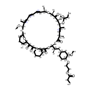 CO[C@H]1C[C@@H]2CC[C@@H](C)[C@@](O)(O2)C(=O)C(=O)N2CCCC[C@H]2C(=O)O[C@H]([C@H](C)C[C@@H]2CC[C@@H](OCCOC(=O)CI)[C@H](OC)C2)CC(=O)[C@H](C)/C=C(\C)[C@@H](OC(=O)CI)[C@@H](OC)C(=O)[C@H](C)C[C@H](C)/C=C/C=C/C=C/1C